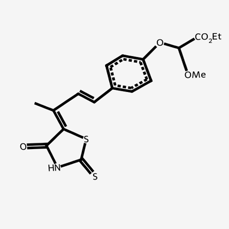 CCOC(=O)C(OC)Oc1ccc(C=CC(C)=C2SC(=S)NC2=O)cc1